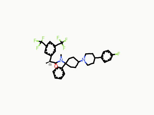 C[C@H](C(=O)N(C)C1(c2ccccc2)CCC(N2CCC(c3ccc(F)cc3)CC2)CC1)c1cc(C(F)(F)F)cc(C(F)(F)F)c1